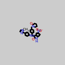 Cn1ccnc1-c1ccc(N/C(=C2\C(=O)Nc3ccc([N+](=O)[O-])cc32)c2ccc(CN3CCCCC3=O)cc2)cc1